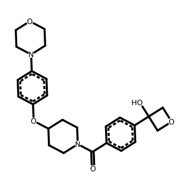 O=C(c1ccc(C2(O)COC2)cc1)N1CCC(Oc2ccc(N3CCOCC3)cc2)CC1